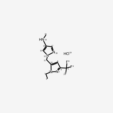 CCn1nc(C(F)(F)F)cc1Cn1cc(NC)cn1.Cl